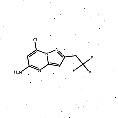 Nc1cc(Cl)n2nc(CC(F)(F)F)cc2n1